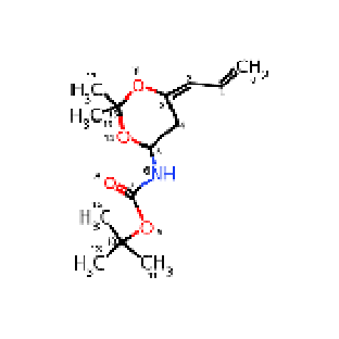 C=C/C=C1\CC(NC(=O)OC(C)(C)C)OC(C)(C)O1